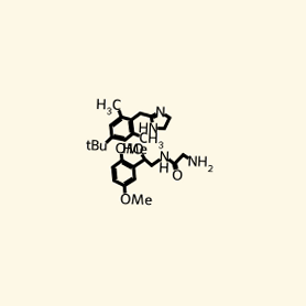 COc1ccc(OC)c(C(O)CNC(=O)CN)c1.Cc1cc(C(C)(C)C)cc(C)c1CC1=NCCN1